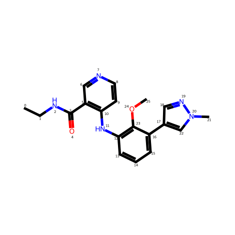 CCNC(=O)c1cnccc1Nc1cccc(-c2cnn(C)c2)c1OC